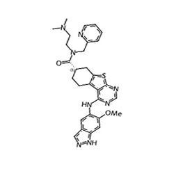 COc1cc2[nH]ncc2cc1Nc1ncnc2sc3c(c12)CC[C@H](C(=O)N(CCN(C)C)Cc1ccccn1)C3